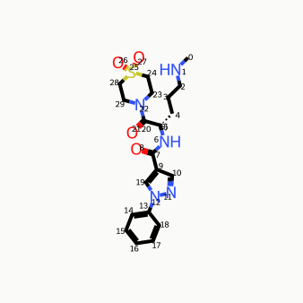 CNCCC[C@H](NC(=O)c1cnn(-c2ccccc2)c1)C(=O)N1CCS(=O)(=O)CC1